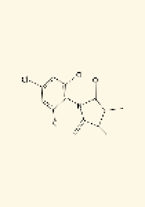 C=C1C(C)C(C)C(=O)N1c1c(Cl)cc(Cl)cc1Cl